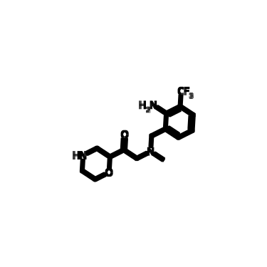 CN(CC(=O)C1CNCCO1)Cc1cccc(C(F)(F)F)c1N